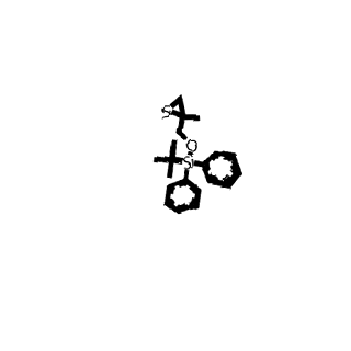 CC1(CO[Si](c2ccccc2)(c2ccccc2)C(C)(C)C)CS1